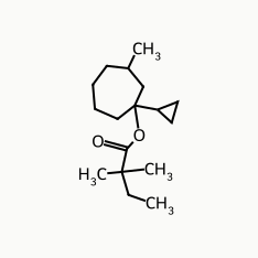 CCC(C)(C)C(=O)OC1(C2CC2)CCCCC(C)C1